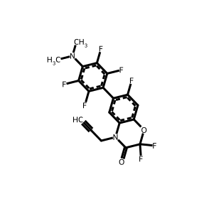 C#CCN1C(=O)C(F)(F)Oc2cc(F)c(-c3c(F)c(F)c(N(C)C)c(F)c3F)cc21